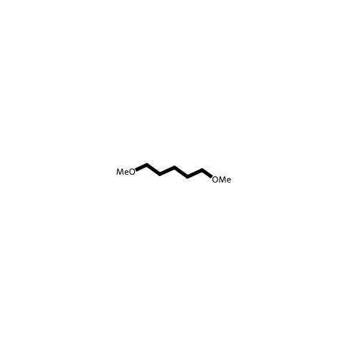 [CH2]OCCCCCOC